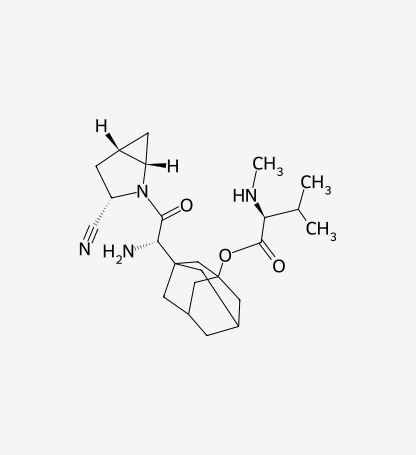 CN[C@H](C(=O)OC12CC3CC(C1)CC([C@H](N)C(=O)N1[C@H](C#N)C[C@@H]4C[C@@H]41)(C3)C2)C(C)C